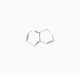 C1=Cc2cccnc2CS1